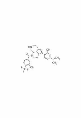 CC(C)c1ccc(-n2nc3c4c2CCN(C(=O)c2cnc(C(F)(F)F)c(O)c2)C4CNCC3)c(O)c1